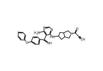 C#CC(=O)N1CC2CC(Nc3ncnc(N)c3C(=N)c3ccc(Oc4ccccc4)cc3)CC2C1